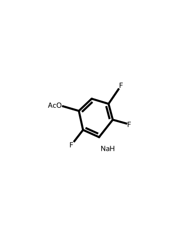 CC(=O)Oc1cc(F)c(F)cc1F.[NaH]